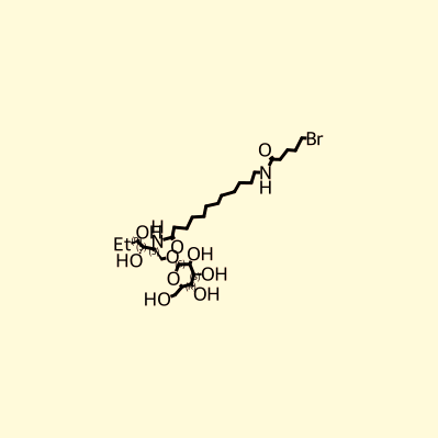 CC[C@@H](O)[C@@H](O)[C@H](CO[C@H]1OC(CO)[C@H](O)[C@H](O)C1O)NC(=O)CCCCCCCCCCCNC(=O)CCCCBr